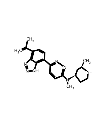 C=C(C)c1ccc(-c2ccc(N(C)[C@@H]3CCN[C@H](C)C3)nn2)c2[nH]nnc12